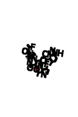 C=C(F)C(=O)N1CCN(c2c(C(=O)NC)c(=O)n(-c3c(C)ccnc3C(C)C)c3c(F)c(-c4c(C)ccc5[nH]ncc45)c(Cl)cc23)C[C@H]1C